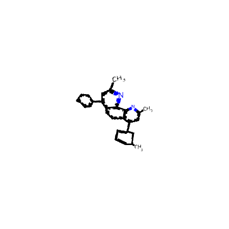 Cc1cc(C2=CC=CC(C)C2)c2ccc3c(-c4ccccc4)cc(C)nc3c2n1